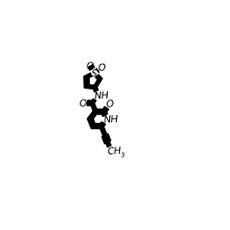 CC#Cc1ccc(C(=O)NC2C=CS(=O)(=O)C2)c(=O)[nH]1